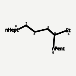 [CH2]CCCCCCCCCC(CC)CCCC[CH2]